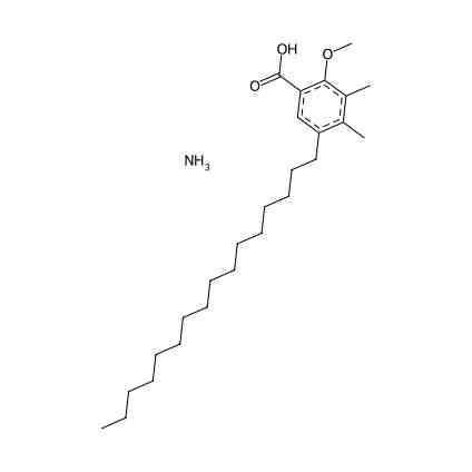 CCCCCCCCCCCCCCCCc1cc(C(=O)O)c(OC)c(C)c1C.N